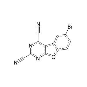 N#Cc1nc(C#N)c2c(n1)oc1ccc(Br)cc12